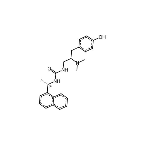 C[C@H](NC(=O)NCC(Cc1ccc(O)cc1)N(C)C)c1cccc2ccccc12